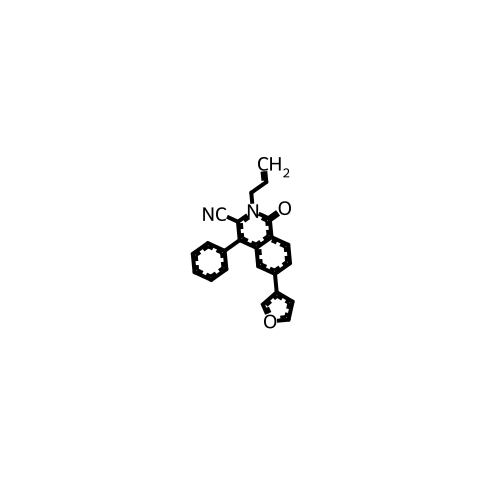 C=CCn1c(C#N)c(-c2ccccc2)c2cc(-c3ccoc3)ccc2c1=O